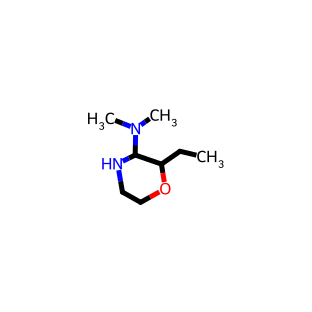 CCC1OCCNC1N(C)C